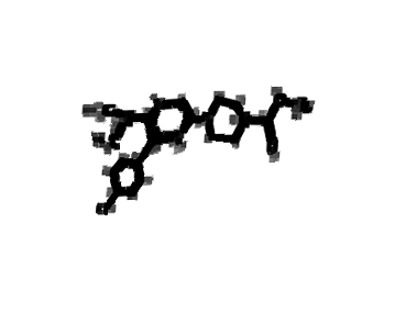 CN(C)c1ncc(N2CCN(C(=O)OC(C)(C)C)CC2)nc1-c1ccc(Cl)cc1